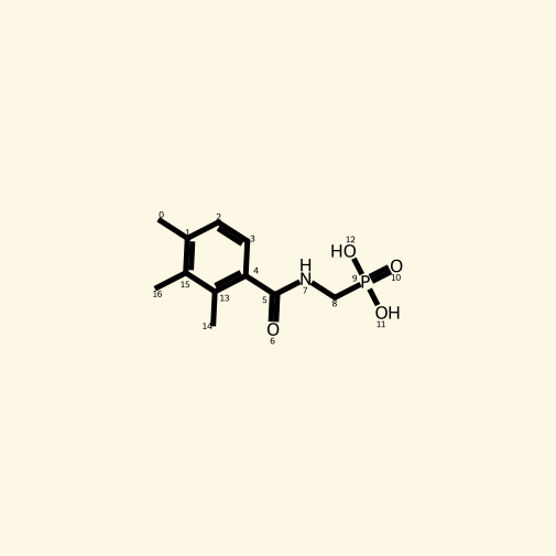 Cc1ccc(C(=O)NCP(=O)(O)O)c(C)c1C